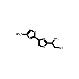 NC(CO)c1nc(-c2nc(C(=O)O)co2)co1